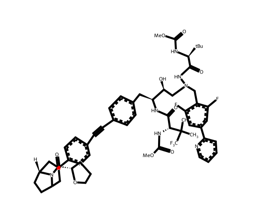 COC(=O)N[C@H](C(=O)NN(Cc1c(F)cc(-c2ccccn2)cc1F)C[C@H](O)[C@H](Cc1ccc(C#Cc2ccc(N3CC4CC[C@H](C3)N4C(=O)[C@@H]3CCCO3)nc2)cc1)NC(=O)[C@@H](NC(=O)OC)C(C)(C)C(F)(F)F)C(C)(C)C